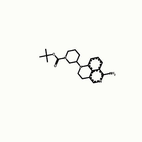 CC(C)(C)OC(=O)N1CCCC(N2CCc3cnc(N)c4cccc2c34)C1